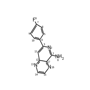 Nc1nc(-c2ccc(F)cc2)cc2nccnc12